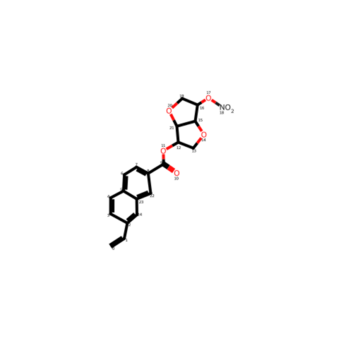 C=Cc1ccc2ccc(C(=O)OC3COC4C(O[N+](=O)[O-])COC34)cc2c1